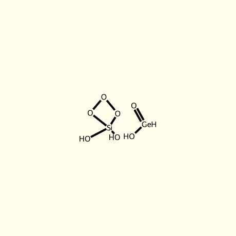 O[Si]1(O)OOO1.[O]=[GeH][OH]